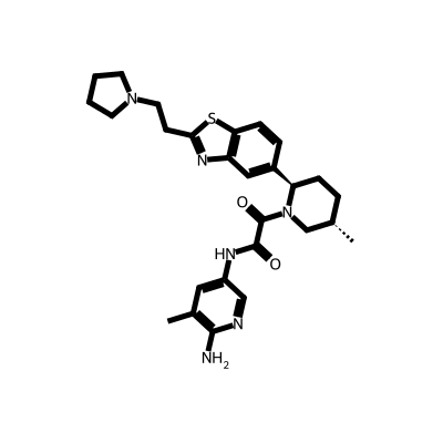 Cc1cc(NC(=O)C(=O)N2C[C@@H](C)CC[C@@H]2c2ccc3sc(CCN4CCCC4)nc3c2)cnc1N